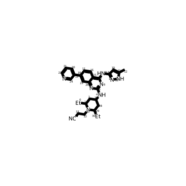 CCC1CC(Nc2nc(Nc3cc(C)[nH]n3)c3ccc(-c4cccnc4)cc3n2)CC(CC)N1CCC#N